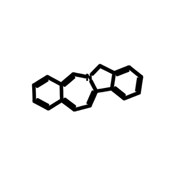 C1=C2c3ccccc3CN2C=c2ccccc2=C1